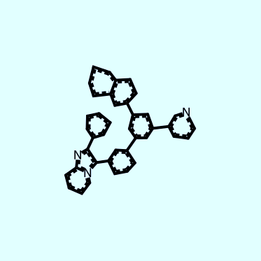 c1ccc(-c2nc3ccccn3c2-c2cccc(-c3cc(-c4cccnc4)cc(-c4ccc5ccccc5c4)c3)c2)cc1